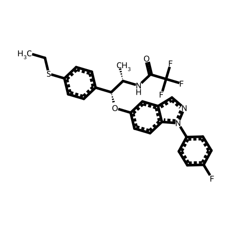 CCSc1ccc([C@@H](Oc2ccc3c(cnn3-c3ccc(F)cc3)c2)[C@H](C)NC(=O)C(F)(F)F)cc1